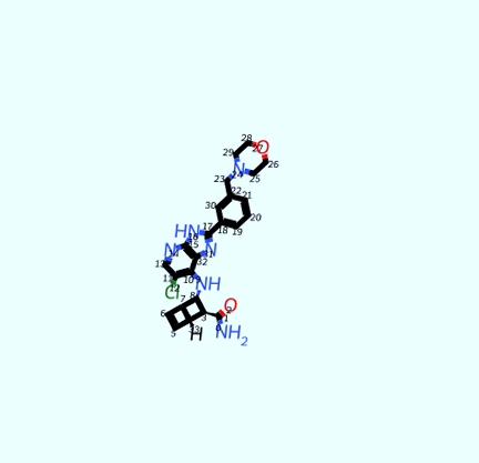 NC(=O)[C@H]1[C@@H]2C=CC2[C@H]1Nc1c(Cl)cnc2[nH]c(-c3cccc(CN4CCOCC4)c3)nc12